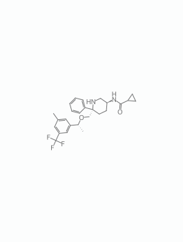 Cc1cc([C@@H](C)OC[C@@]2(c3ccccc3)CC[C@H](NC(=O)C3CC3)CN2)cc(C(F)(F)F)c1